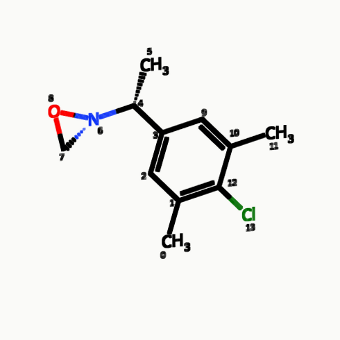 Cc1cc([C@@H](C)[N@]2CO2)cc(C)c1Cl